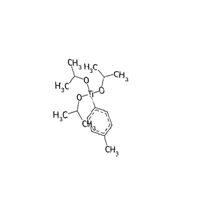 Cc1cc[c]([Ti]([O]C(C)C)([O]C(C)C)[O]C(C)C)cc1